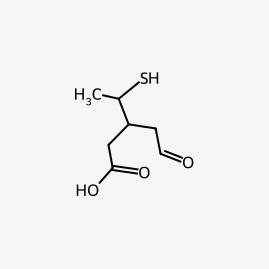 CC(S)C(CC=O)CC(=O)O